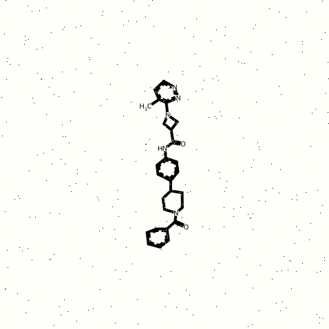 Cc1ccnnc1N1CC(C(=O)Nc2ccc(C3CCN(C(=O)c4ccccc4)CC3)cc2)C1